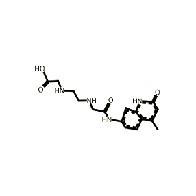 Cc1cc(=O)[nH]c2cc(NC(=O)CNCCNCC(=O)O)ccc12